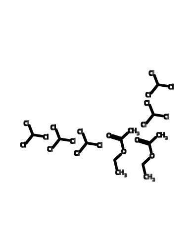 CCOC(C)=O.CCOC(C)=O.ClC(Cl)Cl.ClC(Cl)Cl.ClC(Cl)Cl.ClC(Cl)Cl.ClC(Cl)Cl